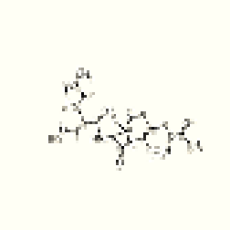 CCON=C(C(=O)NC1C(=O)N2C(C(=O)O)=C(COC(N)=O)CS[C@@H]12)c1csc(N)n1